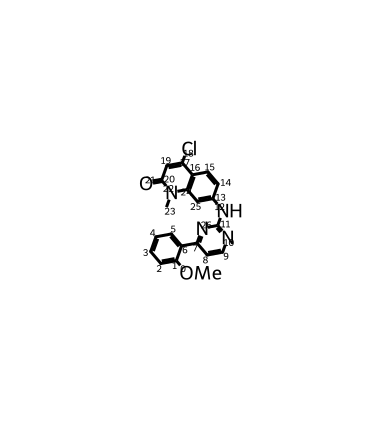 COc1ccccc1-c1ccnc(Nc2ccc3c(Cl)cc(=O)n(C)c3c2)n1